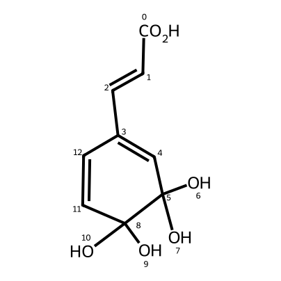 O=C(O)C=CC1=CC(O)(O)C(O)(O)C=C1